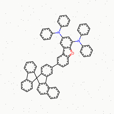 c1ccc(N(c2ccccc2)c2cc(N(c3ccccc3)c3ccccc3)c3oc4ccc(-c5ccc6c(c5)-c5c(ccc7ccccc57)C65c6ccccc6-c6ccccc65)cc4c3c2)cc1